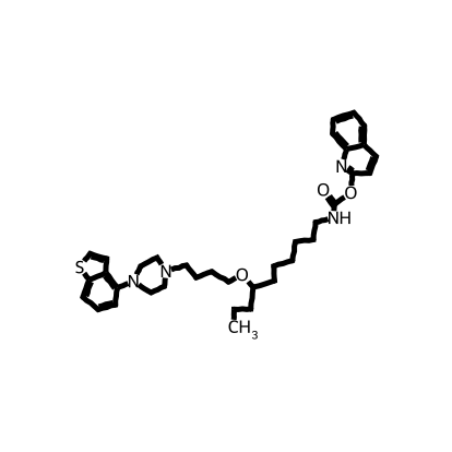 CCCC(CCCCCCNC(=O)Oc1ccc2ccccc2n1)OCCCCN1CCN(c2cccc3sccc23)CC1